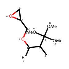 CCC(OCC1CO1)C(C)C(OC)(OC)OC